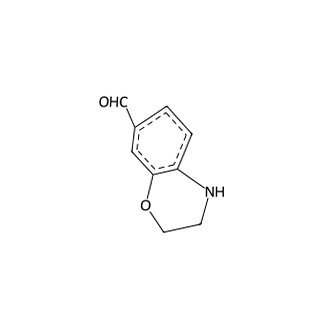 O=Cc1ccc2c(c1)OCCN2